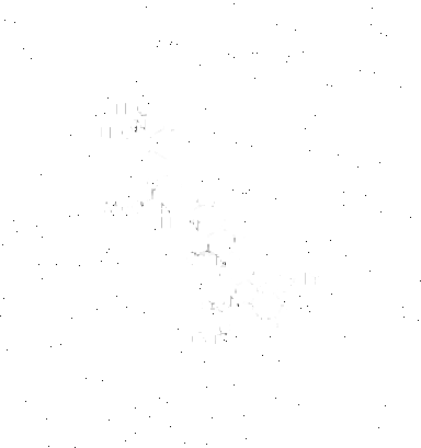 COC(=O)NC(CCC=CC(=O)N(C)C)C(=O)Nc1cccn(Cc2cc3c(CC(C)C)cccc3n2C(=O)OC(C)(C)C)c1=O